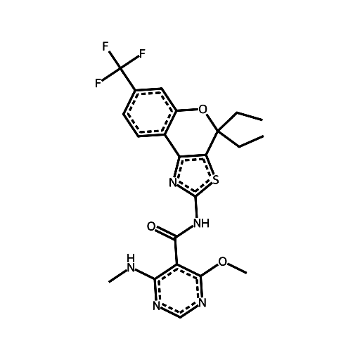 CCC1(CC)Oc2cc(C(F)(F)F)ccc2-c2nc(NC(=O)c3c(NC)ncnc3OC)sc21